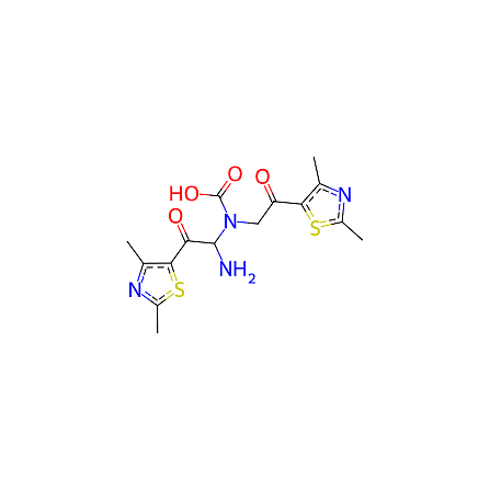 Cc1nc(C)c(C(=O)CN(C(=O)O)C(N)C(=O)c2sc(C)nc2C)s1